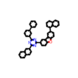 c1ccc(-c2cccc(-c3nc(-c4ccc5ccccc5c4)nc(-c4ccc5oc6ccc(-c7cccc8ccccc78)cc6c5c4)n3)c2)cc1